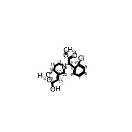 COC(=O)[C@H](c1ccccc1Cl)N1CC[C@@H](C)/C(=C\C(=O)O)C1